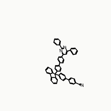 N#Cc1ccc(-c2ccc(C3(c4ccc(-c5ccc(-c6cc(-c7ccccc7)nc(-c7ccccc7)n6)cc5)cc4)c4ccccc4-c4ccccc43)cc2)cc1